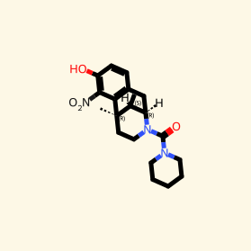 C[C@@H]1[C@H]2Cc3ccc(O)c([N+](=O)[O-])c3[C@]1(C)CCN2C(=O)N1CCCCC1